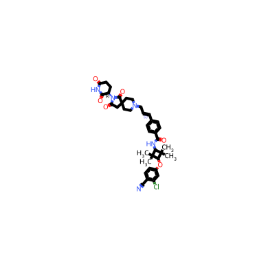 CC1(C)C(NC(=O)c2ccc(/C=C/CN3CCC4(CC3)CC(=O)N([C@@H]3CCC(=O)NC3=O)C4=O)cc2)C(C)(C)C1Oc1ccc(C#N)c(Cl)c1